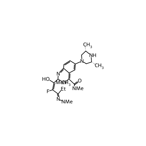 CCC(=N\NC)/C(F)=C(/O)C(C)/N=C1/C=CC(N2C[C@@H](C)N[C@@H](C)C2)=C/C1=C(/NC)C(=O)NC